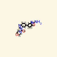 Nc1nc2cc(C3=CC4C(C=C3)N=CN4C(=O)N3CCOCC3)ccc2o1